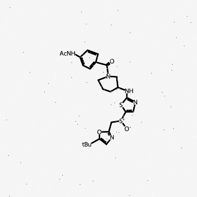 CC(=O)Nc1ccc(C(=O)N2CCCC(Nc3ncc([S+]([O-])Cc4ncc(C(C)(C)C)o4)s3)C2)cc1